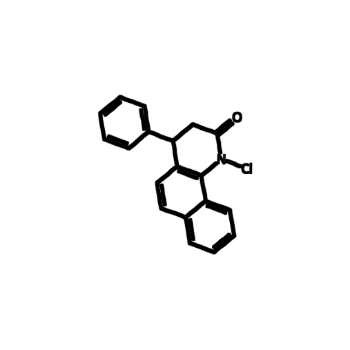 O=C1CC(c2ccccc2)c2ccc3ccccc3c2N1Cl